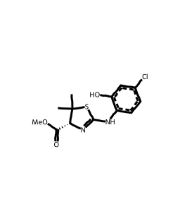 COC(=O)[C@H]1N=C(Nc2ccc(Cl)cc2O)SC1(C)C